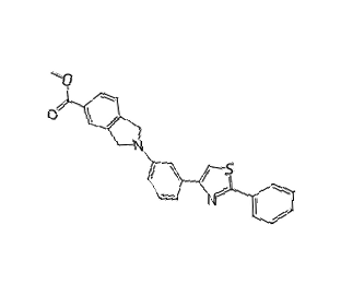 COC(=O)c1ccc2c(c1)CN(c1cccc(-c3csc(-c4ccccc4)n3)c1)C2